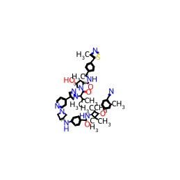 Cc1cc(O[C@H]2C(C)(C)[C@H](NC(=O)c3ccc(N[C@@H]4CCN(c5cc(-c6cnn(C(C(=O)N7C[C@H](O)C[C@H]7C(=O)N[C@@H](C)c7ccc(-c8scnc8C)cc7)C(C)C)c6)ccn5)C4)cc3)C2(C)C)ccc1C#N